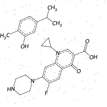 Cc1ccc(C(C)C)cc1O.O=C(O)c1cn(C2CC2)c2cc(N3CCNCC3)c(F)cc2c1=O